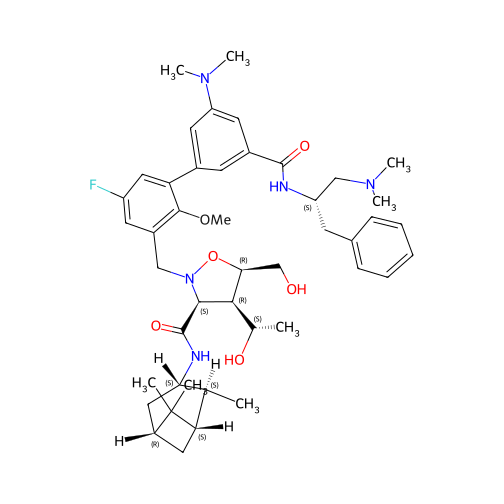 COc1c(CN2O[C@@H](CO)[C@@H]([C@H](C)O)[C@H]2C(=O)N[C@H]2C[C@H]3C[C@@H]([C@@H]2C)C3(C)C)cc(F)cc1-c1cc(C(=O)N[C@@H](Cc2ccccc2)CN(C)C)cc(N(C)C)c1